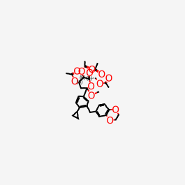 COC1(c2ccc(C3CC3)c(Cc3ccc4c(c3)OCCO4)c2)C[C@H](OC(C)=O)[C@@H](OC(C)=O)[C@@](COC(C)=O)(OC(C)=O)O1